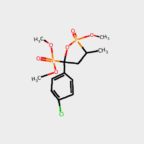 COP1(=O)OC(c2ccc(Cl)cc2)(P(=O)(OC)OC)CC1C